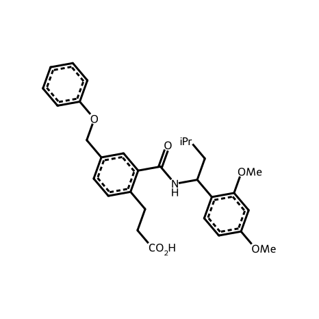 COc1ccc(C(CC(C)C)NC(=O)c2cc(COc3ccccc3)ccc2CCC(=O)O)c(OC)c1